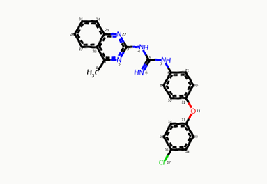 Cc1nc(NC(=N)Nc2ccc(Oc3ccc(Cl)cc3)cc2)nc2ccccc12